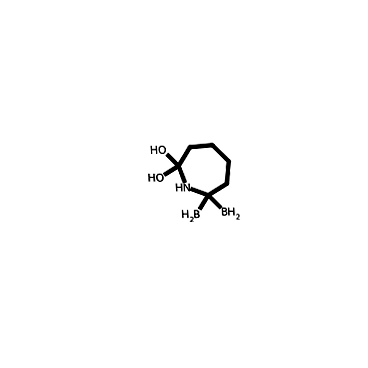 BC1(B)CCCCC(O)(O)N1